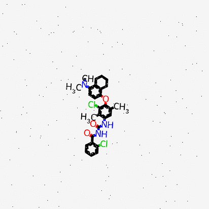 Cc1cc(NC(=O)NC(=O)c2ccccc2Cl)c(C)c(Cl)c1Oc1ccc(N(C)C)c2c1CCCC2